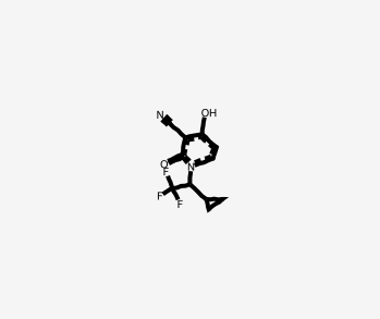 N#Cc1c(O)ccn(C(C2CC2)C(F)(F)F)c1=O